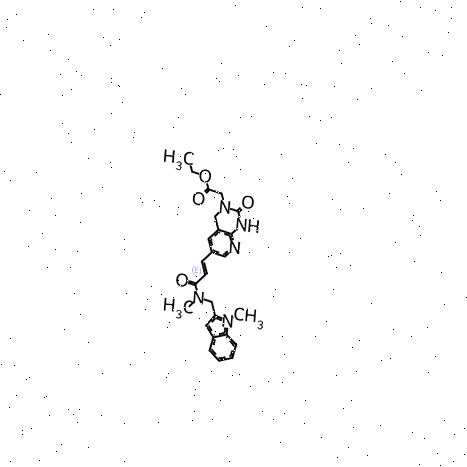 CCOC(=O)CN1Cc2cc(/C=C/C(=O)N(C)Cc3cc4ccccc4n3C)cnc2NC1=O